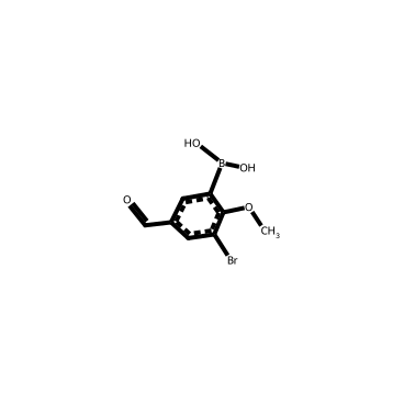 COc1c(Br)cc(C=O)cc1B(O)O